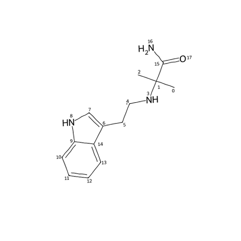 CC(C)(N[CH]Cc1c[nH]c2ccccc12)C(N)=O